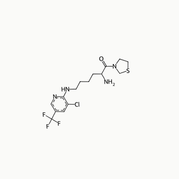 NC(CCCCNc1ncc(C(F)(F)F)cc1Cl)C(=O)N1CCSC1